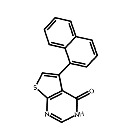 O=c1[nH]cnc2scc(-c3cccc4ccccc34)c12